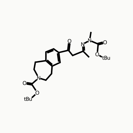 CC(CC(=O)c1ccc2c(c1)CCN(C(=O)OC(C)(C)C)CC2)=NN(C)C(=O)OC(C)(C)C